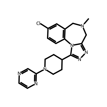 CN1Cc2cc(Cl)ccc2-n2c(nnc2C2CCN(c3cnccn3)CC2)C1